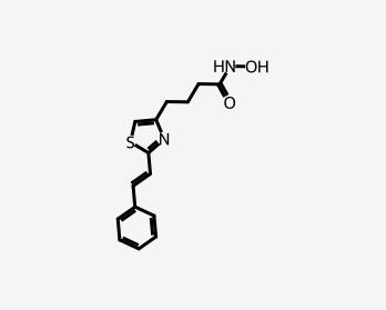 O=C(CCCc1csc(C=Cc2ccccc2)n1)NO